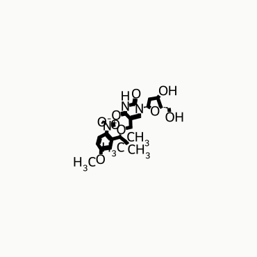 COc1ccc([N+](=O)[O-])c([C@@H](OCc2cn([C@@H]3CC(O)[C@H](CO)O3)c(=O)[nH]c2=O)C(C)(C)C)c1